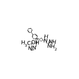 CC(O)c1nccn1CC#C[C@@]1(C2CC(NCC(=N)N)C2)C=CC(c2ccccc2)=CC1